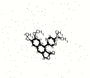 COc1cc2cc3c(c(-c4cnc(N(C)C)cn4)c2cc1OC)C(=O)OC3